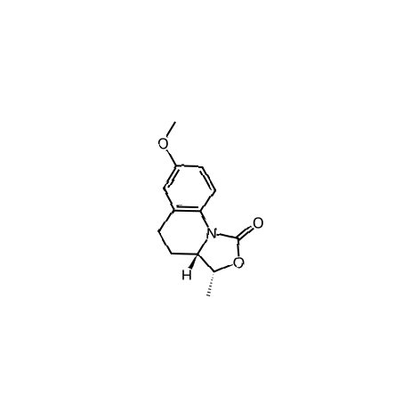 COc1ccc2c(c1)CC[C@H]1[C@@H](C)OC(=O)N21